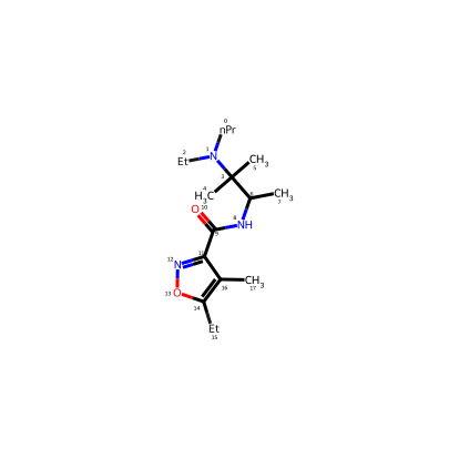 CCCN(CC)C(C)(C)C(C)NC(=O)c1noc(CC)c1C